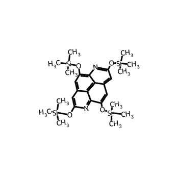 C[Si](C)(C)Oc1cc2cc(O[Si](C)(C)C)c3nc(O[Si](C)(C)C)cc4cc(O[Si](C)(C)C)c(n1)c2c43